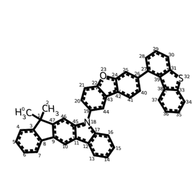 CC1(C)c2ccccc2-c2cc3c4ccccc4n(-c4ccc5oc6cc(-c7cccc8sc9ccccc9c78)ccc6c5c4)c3cc21